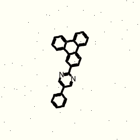 c1ccc(-c2cnc(-c3ccc4c5ccccc5c5ccccc5c4c3)nc2)cc1